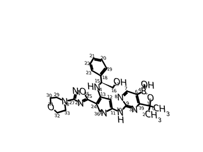 CC1(C)OB(O)c2cnc(Nc3cc(N[C@H](CO)c4ccccc4)c(-c4nc(N5CCOCC5)no4)cn3)nc21